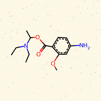 CCN(CC)C(C)OC(=O)c1ccc(N)cc1OC